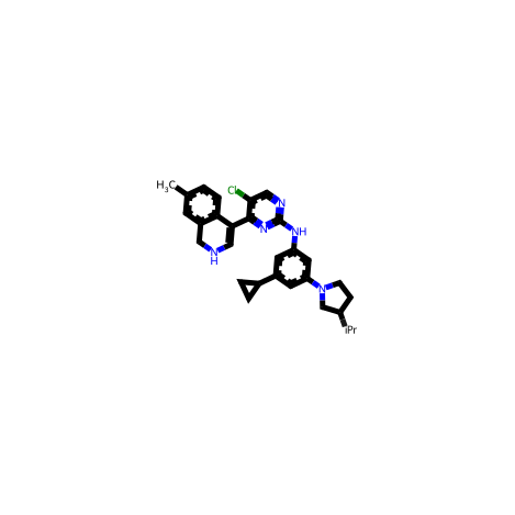 Cc1ccc2c(c1)CNC=C2c1nc(Nc2cc(C3CC3)cc(N3CCC(C(C)C)C3)c2)ncc1Cl